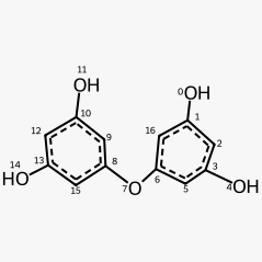 Oc1cc(O)cc(Oc2cc(O)cc(O)c2)c1